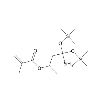 C=C(C)C(=O)OC(C)CC([SiH3])(O[Si](C)(C)C)O[Si](C)(C)C